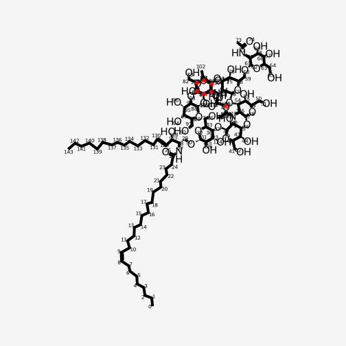 CCCCCCCC/C=C\CCCCCCCCCCCCCCCC(=O)N[C@@H](CO[C@@H]1OC(CO)[C@@H](O[C@@H]2OC(CO)[C@H](O)[C@H](O[C@@H]3OC(CO)[C@@H](O)[C@H](O[C@@H]4OC(CO[C@@H]5OC(CO)[C@@H](O)[C@H](O)C5NC(C)=O)[C@H](O)[C@H](O[C@@H]5OC(CO)[C@@H](O)[C@H](O[C@@H]6OC(CO)[C@H](O)[C@H](O)C6O[C@H]6OC(C)[C@@H](O)C(O)[C@@H]6O)C5NC(C)=O)C4O)C3NC(C)=O)C2O)[C@H](O)C1O)[C@H](O)/C=C/CCCCCCCCCCCCC